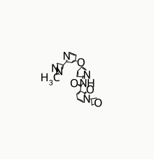 Cn1cc(-c2cc(Oc3ccc(NC(=O)c4cccn(C5COC5)c4=O)nc3)ccn2)cn1